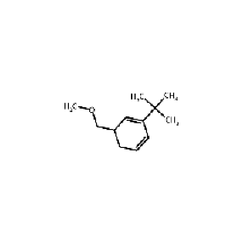 COCC1C=C(C(C)(C)C)C=CC1